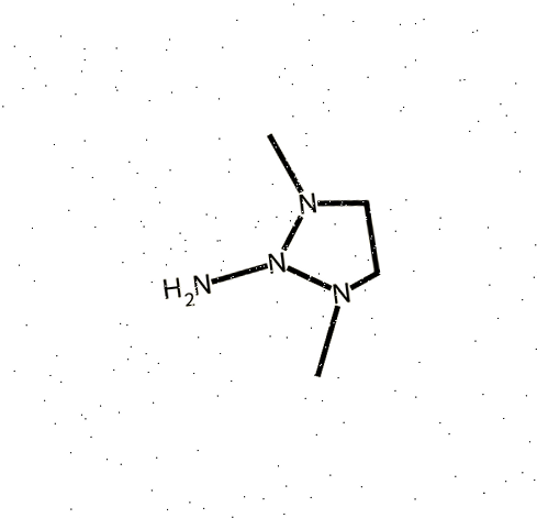 CN1CCN(C)N1N